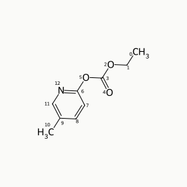 CCOC(=O)Oc1ccc(C)cn1